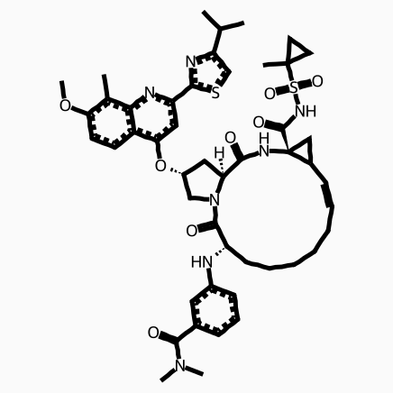 COc1ccc2c(O[C@@H]3C[C@H]4C(=O)N[C@]5(C(=O)NS(=O)(=O)C6(C)CC6)CC5/C=C\CCCCC[C@H](Nc5cccc(C(=O)N(C)C)c5)C(=O)N4C3)cc(-c3nc(C(C)C)cs3)nc2c1C